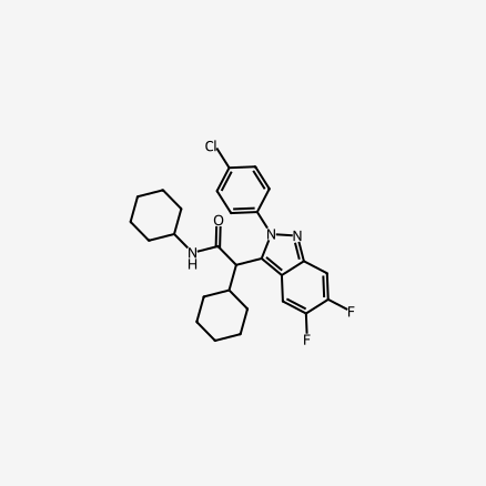 O=C(NC1CCCCC1)C(c1c2cc(F)c(F)cc2nn1-c1ccc(Cl)cc1)C1CCCCC1